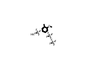 COc1ccccc1C.F[B-](F)(F)F.F[B-](F)(F)F.F[B-](F)(F)F.[KH]